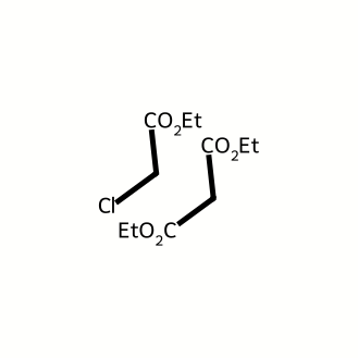 CCOC(=O)CC(=O)OCC.CCOC(=O)CCl